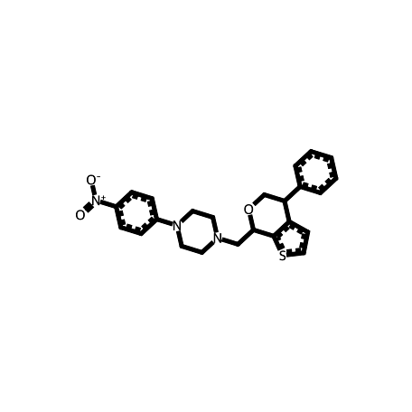 O=[N+]([O-])c1ccc(N2CCN(CC3OCC(c4ccccc4)c4ccsc43)CC2)cc1